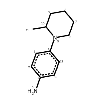 Nc1ccc(N2CCCCC2I)cc1